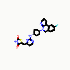 O=C1NC(=O)C(=Cc2ccnc(N[C@H]3CC[C@H](NCc4ccc(F)cc4-c4cccnc4)CC3)n2)S1